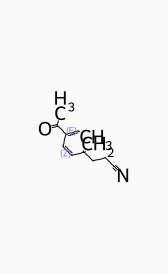 C=C(/C=C\C(=C/C)C(C)=O)CCC#N